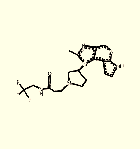 Cc1nc2cnc3[nH]ccc3c2n1C1CCN(CC(=O)NCC(F)(F)F)C1